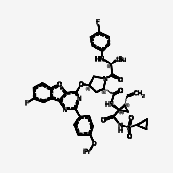 C=C[C@@H]1C[C@]1(NC(=O)[C@@H]1C[C@@H](Oc2nc(-c3ccc(OC(C)C)cc3)nc3c2oc2ccc(F)cc23)CN1C(=O)[C@@H](Nc1ccc(F)cc1)C(C)(C)C)C(=O)NS(=O)(=O)C1CC1